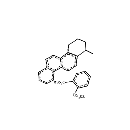 CC1CCCc2c1ccc1c2ccc2ccccc21.CCOC(=O)c1ccccc1C(=O)OCC